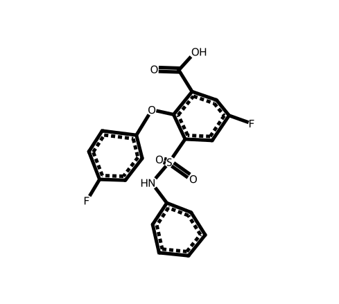 O=C(O)c1cc(F)cc(S(=O)(=O)Nc2ccccc2)c1Oc1ccc(F)cc1